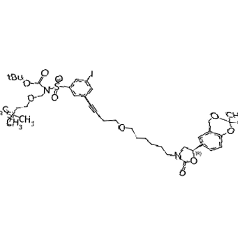 CC(C)(C)OC(=O)N(COCC[Si](C)(C)C)S(=O)(=O)c1cc(I)cc(C#CCCOCCCCCCN2C[C@@H](c3ccc4c(c3)COC(C)(C)O4)OC2=O)c1